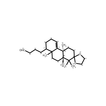 CC12CC[C@H]3C(C)(C)C4(CC[C@]3(C)C1=CCCC2CCCC=O)OCCO4